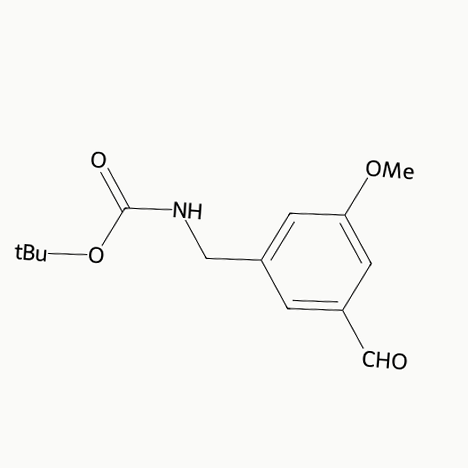 COc1cc(C=O)cc(CNC(=O)OC(C)(C)C)c1